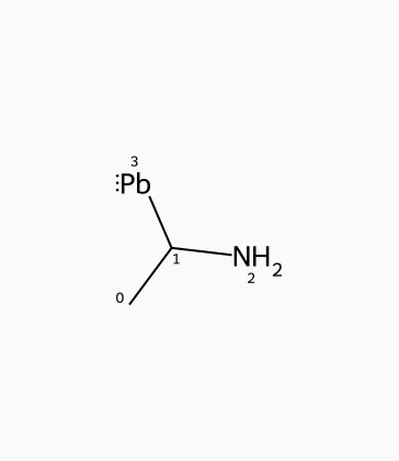 C[CH](N)[Pb]